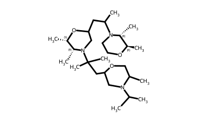 CC(C)N1CC(CC(C)(C)N2CC(CC(C)N3CCO[C@H](C)[C@H]3C)O[C@@H](C)[C@H]2C)OCC1C